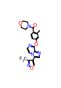 Cc1cc(Oc2nccn3c(-c4conc4C(F)(F)F)cnc23)ccc1C(=O)N1CCOCC1